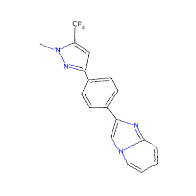 Cn1nc(-c2ccc(-c3cn4ccccc4n3)cc2)cc1C(F)(F)F